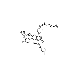 COCCN=C=NC1CCN(c2nc(=O)n3c4c(c(-c5ccc(F)c6sc(N)nc56)c(Cl)cc24)SC[C@@H]3COC2CCNC2)CC1